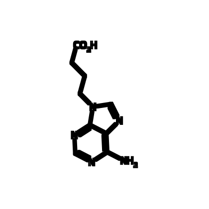 Nc1ncnc2c1ncn2CCCC(=O)O